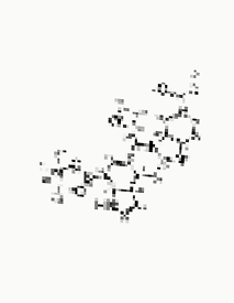 COC(=O)c1ccc2nc(Cc3ccc(B4OC(C)(C)C(C)(C)O4)c4[nH]ccc34)n(C[C@@H]3CCO3)c2c1